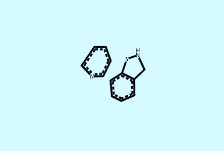 c1ccc2c(c1)CNS2.c1ccncc1